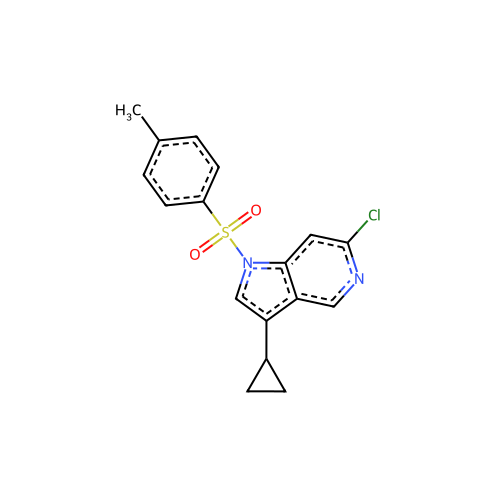 Cc1ccc(S(=O)(=O)n2cc(C3CC3)c3cnc(Cl)cc32)cc1